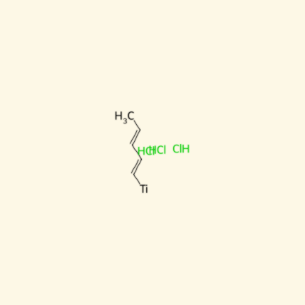 CC=CC=[CH][Ti].Cl.Cl.Cl